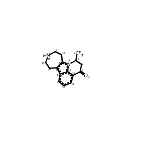 O=C1CC(C(F)(F)F)n2c3c(c4cccc1c42)CCNCC3